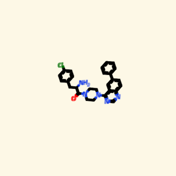 N[C@H](Cc1ccc(Cl)cc1)C(=O)N1CCN(c2ncnc3ccc(-c4ccccc4)cc23)CC1